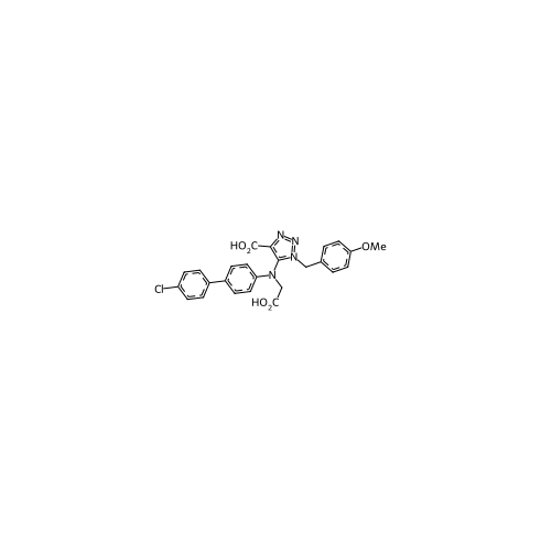 COc1ccc(Cn2nnc(C(=O)O)c2N(CC(=O)O)c2ccc(-c3ccc(Cl)cc3)cc2)cc1